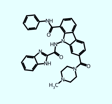 CN1CCN(C(=O)c2ccc3c4cccc(C(=O)Nc5ccccc5)c4n(NC(=O)c4nc5ccccc5[nH]4)c3c2)CC1